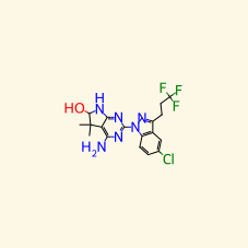 CC1(C)c2c(N)nc(-n3nc(CCC(F)(F)F)c4cc(Cl)ccc43)nc2NC1O